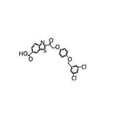 O=C(O)c1ccc2nc(C(=O)COc3ccc(OCc4cc(Cl)cc(Cl)c4)cc3)sc2c1